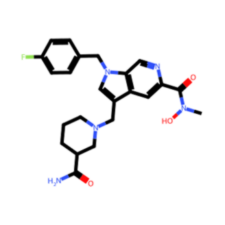 CN(O)C(=O)c1cc2c(CN3CCCC(C(N)=O)C3)cn(Cc3ccc(F)cc3)c2cn1